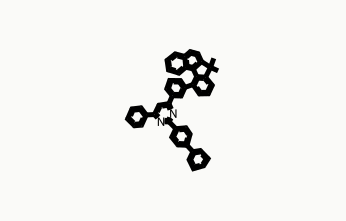 CC1(C)c2cccc(-c3cccc(-c4cc(-c5ccccc5)nc(-c5ccc(-c6ccccc6)cc5)n4)c3)c2-c2c1ccc1ccccc21